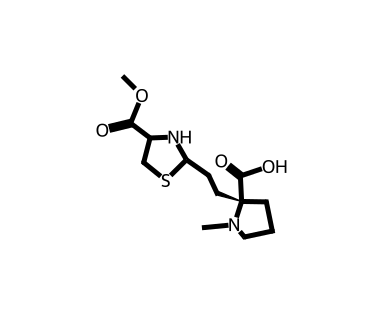 COC(=O)C1CSC(CC[C@@]2(C(=O)O)CCCN2C)N1